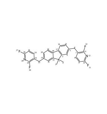 CC1(C)c2cc(Cc3ccc(F)nc3F)ccc2-c2ccc(Cc3ccc(F)nc3F)cc21